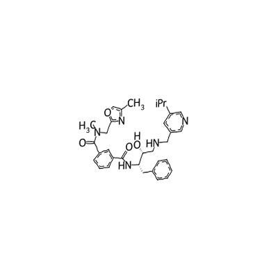 Cc1coc(CN(C)C(=O)c2cccc(C(=O)N[C@@H](Cc3ccccc3)[C@H](O)CNCc3cncc(C(C)C)c3)c2)n1